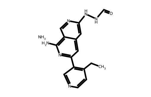 CCc1ccncc1-c1cc2cc(NNC=O)ncc2c(N)n1.N